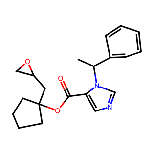 CC(c1ccccc1)n1cncc1C(=O)OC1(CC2CO2)CCCC1